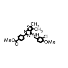 COC(=O)c1ccc(-c2nc(NCc3ccc(OC)c(Cl)c3)c3c(C)c(C)sc3n2)cc1